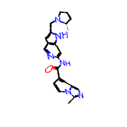 Cc1ncc2cc(C(=O)Nc3cc4[nH]c(CN5CCC[C@@H]5C)cc4cn3)ccn12